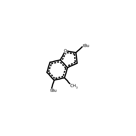 Cc1c(C(C)(C)C)ccc2oc(C(C)(C)C)cc12